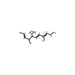 C/C=C/C(C)C(O)/C=C/C(C)=C/CC